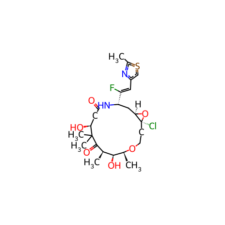 Cc1nc(C=C(F)[C@@H]2C[C@H]3O[C@@]3(Cl)CCO[C@@H](C)[C@@H](O)[C@@H](C)C(=O)C(C)(C)[C@@H](O)CC(=O)N2)cs1